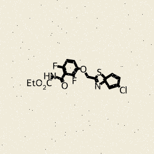 CCOC(=O)NC(=O)c1c(F)ccc(OCc2nc3cc(Cl)ccc3s2)c1F